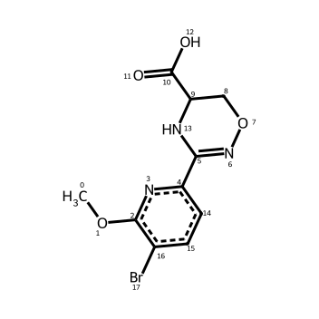 COc1nc(C2=NOCC(C(=O)O)N2)ccc1Br